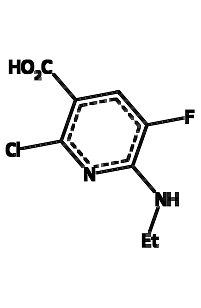 CCNc1nc(Cl)c(C(=O)O)cc1F